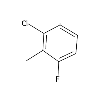 Cc1c(Cl)[c]ccc1F